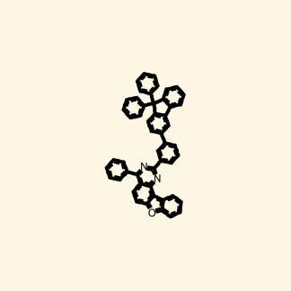 c1ccc(-c2nc(-c3cccc(-c4ccc5c(c4)-c4ccccc4C5(c4ccccc4)c4ccccc4)c3)nc3c2ccc2oc4ccccc4c23)cc1